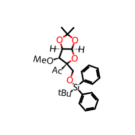 CO[C@H]1[C@H]2OC(C)(C)O[C@H]2O[C@@]1(CO[Si](c1ccccc1)(c1ccccc1)C(C)(C)C)C(C)=O